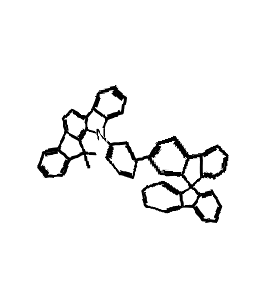 CC1(C)c2ccccc2-c2ccc3c4ccccc4n(-c4cccc(-c5ccc6c(c5)C5(c7ccccc7-c7ccccc75)c5ccccc5-6)c4)c3c21